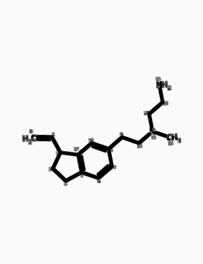 C=CC1CCc2ccc(CCN(C)CCN)cc21